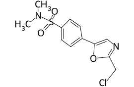 CN(C)S(=O)(=O)c1ccc(-c2cnc(CCl)o2)cc1